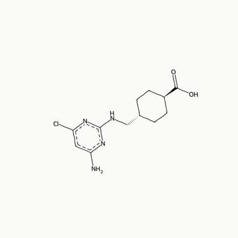 Nc1cc(Cl)nc(NC[C@H]2CC[C@H](C(=O)O)CC2)n1